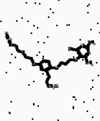 CCOC(=O)CCc1cc(OCCOCCN=[N+]=[N-])ccc1OCCCOc1c(N)nc(N)nc1CC